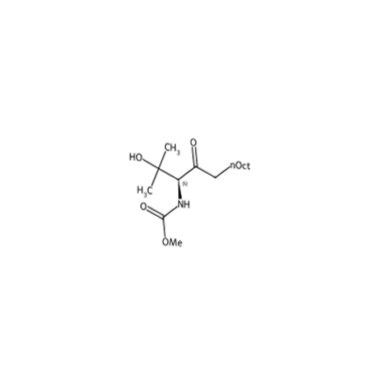 CCCCCCCCCC(=O)[C@@H](NC(=O)OC)C(C)(C)O